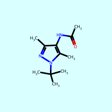 CC(=O)Nc1c(C)nn(C(C)(C)C)c1C